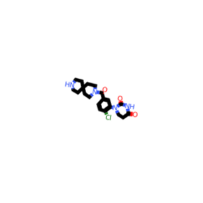 O=C1CCN(c2cc(C(=O)N3CCC4(CCNCC4)CC3)ccc2Cl)C(=O)N1